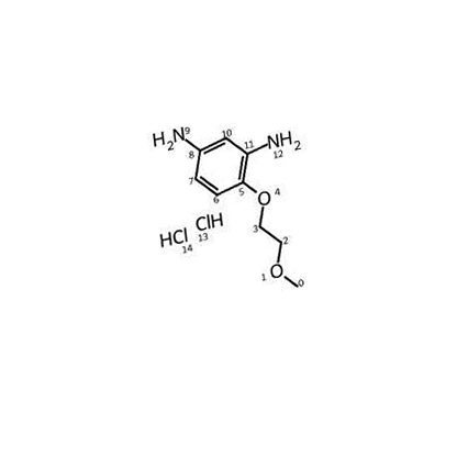 COCCOc1ccc(N)cc1N.Cl.Cl